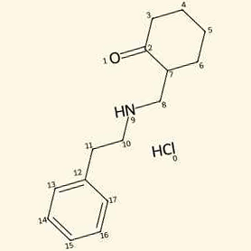 Cl.O=C1CCCCC1CNCCc1ccccc1